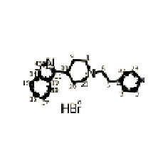 Br.c1ccc(CCN2CCC(c3nsc4ccccc34)CC2)cc1